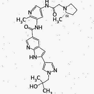 Cc1ncc(NC(=O)CN2CCC[C@@H]2C)cc1NC(=O)c1cnc2[nH]c(-c3cnn(CC(C)(C)O)c3)cc2c1